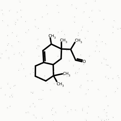 CC(C=O)C1(C)CC2C(=CC1C)CCCC2(C)C